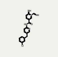 N=Cn1cc(C(=O)Nc2ccc(Cc3cccc(Cl)c3)cn2)ccc1=N